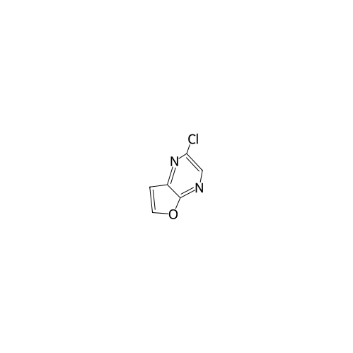 Clc1cnc2occc2n1